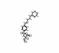 CCOP(=O)(CS(=O)(=O)c1ccc(COCCCN2CCOCC2)cc1)OCC